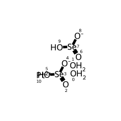 O.O.O=[Se]([O-])O.O=[Se]([O-])O.[Pt+2]